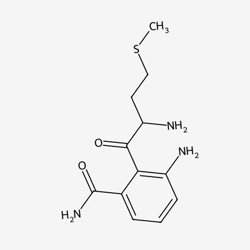 CSCCC(N)C(=O)c1c(N)cccc1C(N)=O